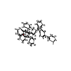 c1ccc(-c2ccc3c(c2)c2ccccc2n3-c2cc3c4c(c2)-c2ccccc2N(c2ccccc2)B4N(c2ccccc2)c2ccccc2-3)cc1